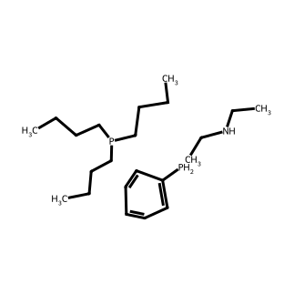 CCCCP(CCCC)CCCC.CCNCC.Pc1ccccc1